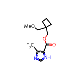 COCC1(COC(=O)c2[nH]cnc2C(F)(F)F)CCC1